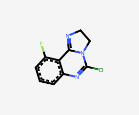 Fc1cccc2c1C1=NCCN1C(Cl)=N2